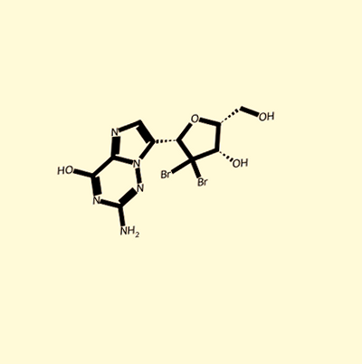 Nc1nc(O)c2ncc([C@@H]3O[C@H](CO)[C@H](O)C3(Br)Br)n2n1